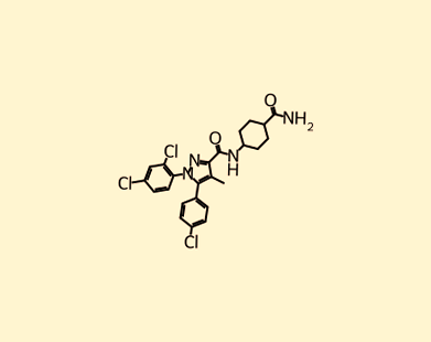 Cc1c(C(=O)NC2CCC(C(N)=O)CC2)nn(-c2ccc(Cl)cc2Cl)c1-c1ccc(Cl)cc1